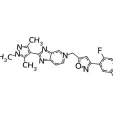 Cc1nn(C)c(C)c1-c1nc2ccn(Cc3cc(-c4cc(F)ccc4F)no3)cc-2n1